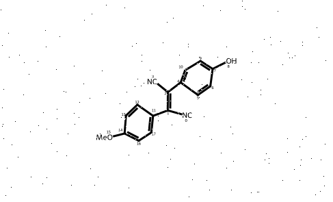 [C-]#[N+]/C(=C(/C#N)c1ccc(O)cc1)c1ccc(OC)cc1